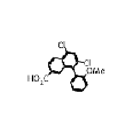 COc1ccccc1-c1c(Cl)cc(Cl)c2ccc(C(=O)O)cc12